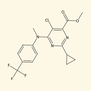 COC(=O)c1nc(C2CC2)nc(N(C)c2ccc(C(F)(F)F)cc2)c1Cl